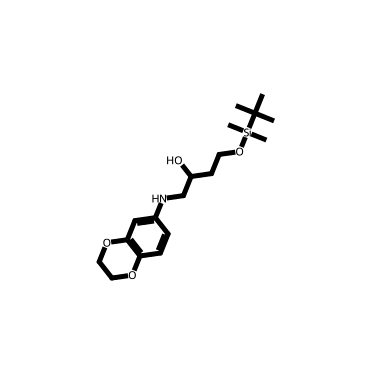 CC(C)(C)[Si](C)(C)OCCC(O)CNc1ccc2c(c1)OCCO2